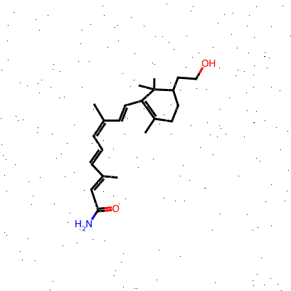 CC1=C(/C=C/C(C)=C\C=C\C(C)=C\C(N)=O)C(C)(C)C(CCO)CC1